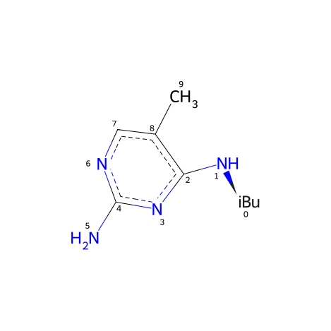 CC[C@H](C)Nc1nc(N)ncc1C